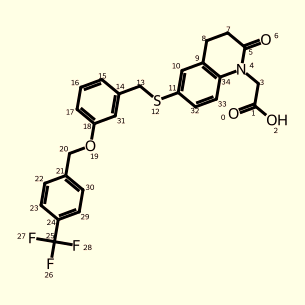 O=C(O)CN1C(=O)CCc2cc(SCc3cccc(OCc4ccc(C(F)(F)F)cc4)c3)ccc21